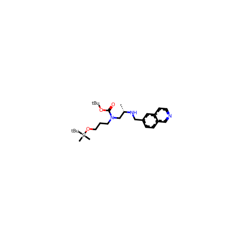 C[C@@H](CN(CCCO[Si](C)(C)C(C)(C)C)C(=O)OC(C)(C)C)NCc1ccc2cnccc2c1